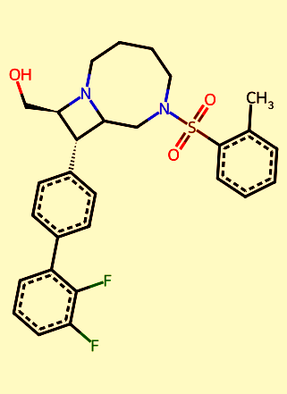 Cc1ccccc1S(=O)(=O)N1CCCCN2C(C1)[C@H](c1ccc(-c3cccc(F)c3F)cc1)[C@H]2CO